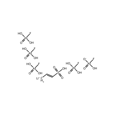 CC=CS(=O)(=O)O.O=[As](O)(O)F.O=[As](O)(O)F.O=[As](O)(O)F.O=[As](O)(O)F.O=[As]([O-])(O)F.[Li+]